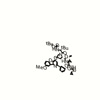 C=C[C@@H]1C[C@]1(NC(=O)[C@@H]1C[C@@H](Oc2cc(-c3ccccc3)nc3c2oc2ccc(OC)cc23)CN1C(=O)[C@@H](NC(=O)OC(C)(C)C)C(C)(C)C)C(=O)NS(=O)(=O)C1CC1